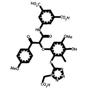 COc1ccc(C(=O)C(Oc2cc(OC)c(O)c(C)c2Sc2nnnn2CC(=O)O)C(=O)Nc2cc(C(=O)O)cc(C(=O)O)c2)cc1